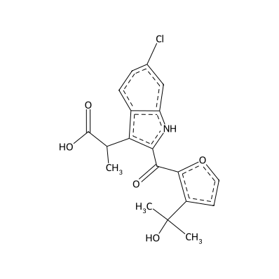 CC(C(=O)O)c1c(C(=O)c2occc2C(C)(C)O)[nH]c2cc(Cl)ccc12